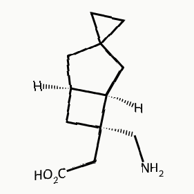 NC[C@]1(CC(=O)O)C[C@H]2CC3(CC3)C[C@H]21